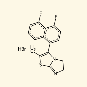 Br.CC1=C(c2ccc(F)c3c(F)cccc23)N2CCN=C2S1